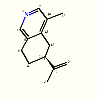 C=C(C)[C@H]1CCc2cncc(C)c2C1